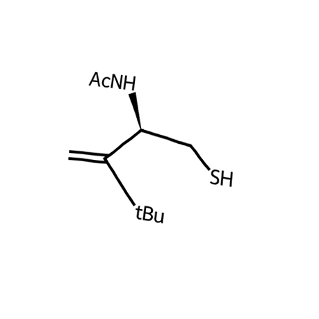 C=C([C@H](CS)NC(C)=O)C(C)(C)C